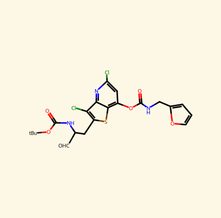 CC(C)(C)OC(=O)NC(C=O)Cc1sc2c(OC(=O)NCc3ccco3)cc(Cl)nc2c1Cl